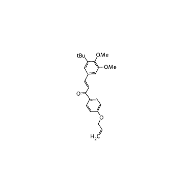 C=CCOc1ccc(C(=O)C=Cc2cc(OC)c(OC)c(C(C)(C)C)c2)cc1